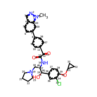 Cn1ncc2ccc(-c3ccc(C(=O)C(=O)N[C@H](CN4CCCC4)[C@H](O)c4ccc(OC5CC5)c(Cl)c4)cc3)cc21